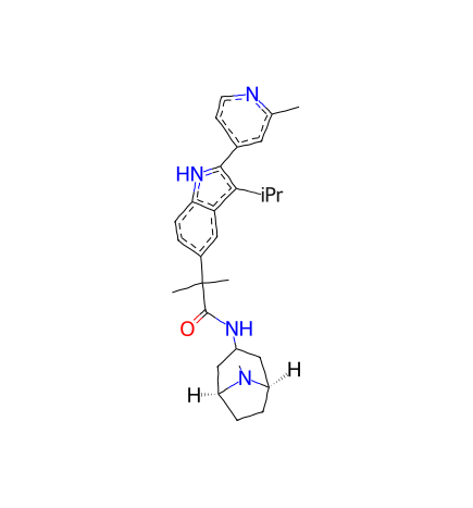 Cc1cc(-c2[nH]c3ccc(C(C)(C)C(=O)NC4C[C@H]5CC[C@@H](C4)N5C)cc3c2C(C)C)ccn1